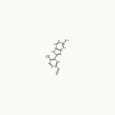 O=Cc1ccc(Cl)c(-c2cc3cc(F)ccc3s2)c1